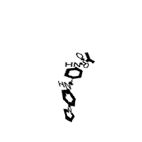 CC(C)S(=O)(=O)N[C@H]1CC[C@H](CNc2ccc(N3CC=CC3)cc2)CC1